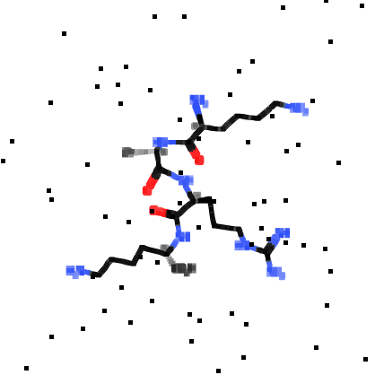 CC(C)[C@H](NC(=O)[C@@H](N)CCCCN)C(=O)N[C@@H](CCCNC(=N)N)C(=O)N[C@@H](CCCCN)C(=O)O